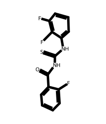 O=C(NC(=S)Nc1cccc(F)c1F)c1ccccc1F